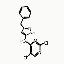 Clc1ncc(Cl)c(Nc2cc(Cc3ccccc3)n[nH]2)n1